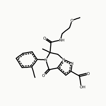 COCCNC(=O)C1(C)Cn2nc(C(=O)O)cc2C(=O)N1c1ccccc1C